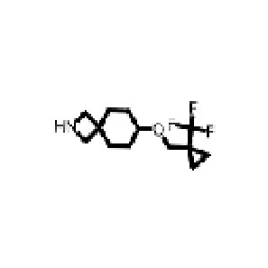 FC(F)(F)C1(COC2CCC3(CC2)CNC3)CC1